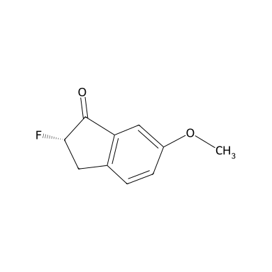 COc1ccc2c(c1)C(=O)[C@@H](F)C2